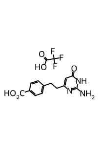 Nc1nc(CCc2ccc(C(=O)O)cc2)cc(=O)[nH]1.O=C(O)C(F)(F)F